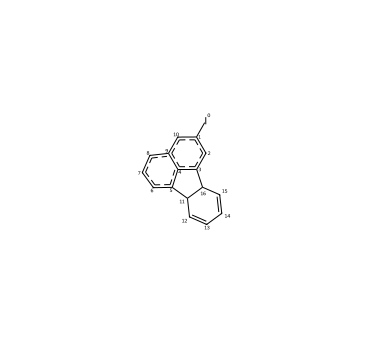 Ic1cc2c3c(cccc3c1)C1C=CC=CC21